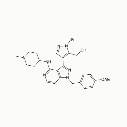 COc1ccc(Cn2nc(-c3cnn(C(C)C)c3CO)c3c(NC4CCN(C)CC4)nccc32)cc1